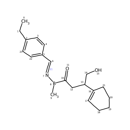 CCc1ccc(/C=N/B(C)C(=O)CC(CO)C2=CCCCC2)cc1